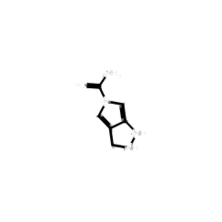 NC(=O)n1cc2c(c1)NNC2